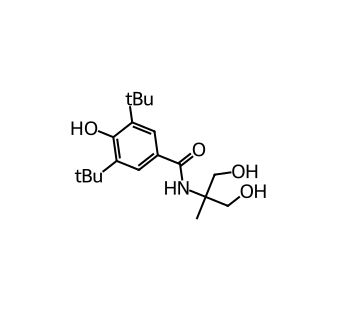 CC(CO)(CO)NC(=O)c1cc(C(C)(C)C)c(O)c(C(C)(C)C)c1